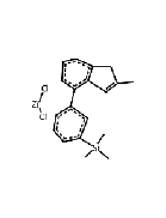 CC1=Cc2c(cccc2-c2cccc([Si](C)(C)C)c2)[CH]1.[Cl][Zr][Cl]